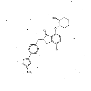 Cn1cc(-c2ccc(CN3Cc4c(Br)ccc(O[C@H]5CCCC[C@@H]5O)c4C3=O)cc2)cn1